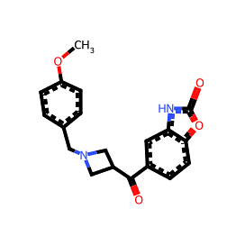 COc1ccc(CN2CC(C(=O)c3ccc4oc(=O)[nH]c4c3)C2)cc1